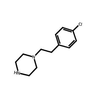 Clc1ccc(CCN2CCNCC2)cc1